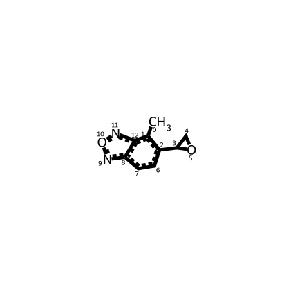 Cc1c(C2CO2)ccc2nonc12